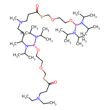 CCN(CC)CCC(=O)SCOCCOP(N(C(C)C)C(C)C)N(C(C)C)C(C)CCN(C)CCC(=O)SCOCCOP(N(C(C)C)C(C)C)N(C(C)C)C(C)C